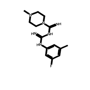 Cc1cc(F)cc(NC(=N)NC(=N)N2CCN(C)CC2)c1